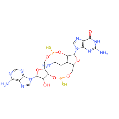 NCCC1C2COP(S)OC3C(COP(S)OC1C(n1cnc4c(=O)[nH]c(N)nc41)O2)OC(n1cnc2c(N)ncnc21)C3O